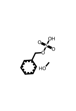 CO.O=S(=O)(O)OCc1ccccc1